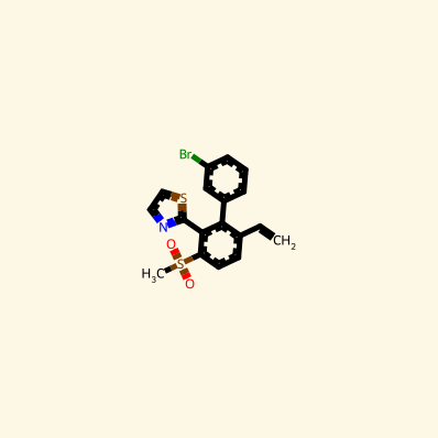 C=Cc1ccc(S(C)(=O)=O)c(-c2nccs2)c1-c1cccc(Br)c1